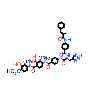 COc1c(NC(=O)c2ccc(NC(=O)c3ccc(NC(=O)[C@H](Cc4c[nH]nn4)NC(=O)c4ccc(NC(=O)/C(C)=C/c5ccc(F)cc5)cc4)cc3)c(OC)c2O)ccc(C(=O)O)c1O